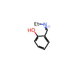 CC/N=C\c1ccccc1O